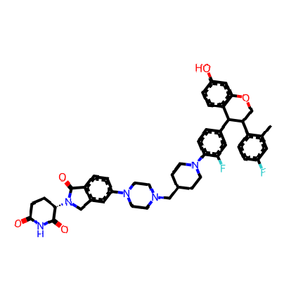 Cc1cc(F)ccc1C1COc2cc(O)ccc2C1c1ccc(N2CCC(CN3CCN(c4ccc5c(c4)CN([C@H]4CCC(=O)NC4=O)C5=O)CC3)CC2)c(F)c1